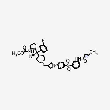 C/C=C/C(=O)Nc1cccc(S(=O)(=O)c2ccc(N3CC(CN4CCC([C@@](C#N)(c5cccc(F)c5)[C@H]5CCC[C@@H]5NC(=O)OC)CC4)C3)cc2)c1